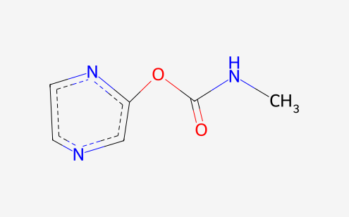 CNC(=O)Oc1cnccn1